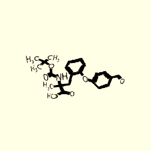 CC(C)(C)OC(=O)NC(C)(Cc1ccccc1Oc1ccc(C=O)cc1)C(=O)O